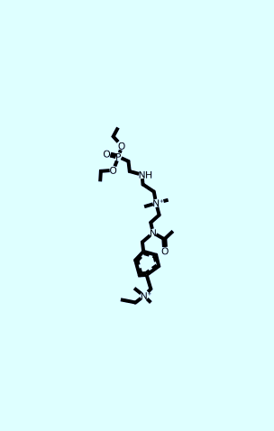 CCOP(=O)(CCNCC[N+](C)(C)CCN(Cc1ccc(C[N+](C)(C)CC)cc1)C(C)=O)OCC